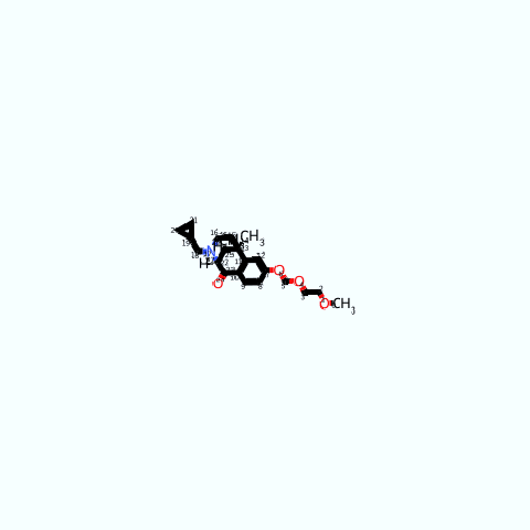 COCCOCOc1ccc2c(c1)[C@@]1(C)CCN(CC3CC3)[C@H](C2=O)[C@@H]1C